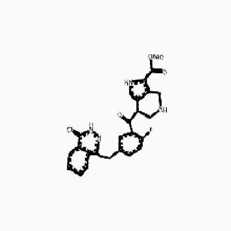 COC(=O)c1[nH]cc2c1CNCC2C(=O)c1cc(Cc2n[nH]c(=O)c3ccccc23)ccc1F